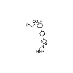 CC(C)CC(C(=O)O)c1cccc(-c2ccc(-c3csc(N4CCNCC4)n3)cc2)c1